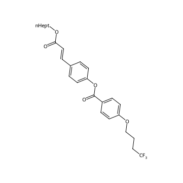 CCCCCCCOC(=O)/C=C/c1ccc(OC(=O)c2ccc(OCCCC(F)(F)F)cc2)cc1